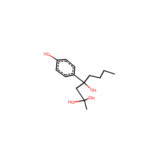 CCCCC(O)(CC(C)(O)O)c1ccc(O)cc1